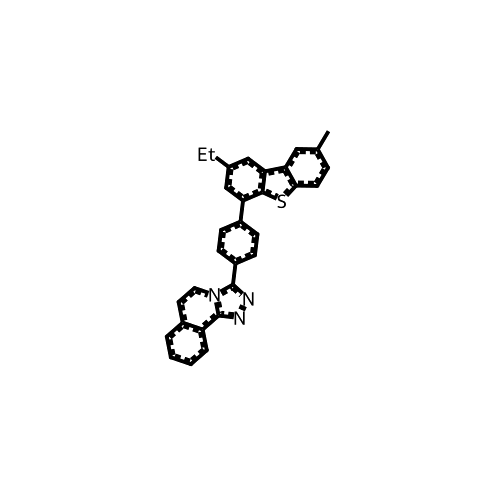 CCc1cc(-c2ccc(-c3nnc4c5ccccc5ccn34)cc2)c2sc3ccc(C)cc3c2c1